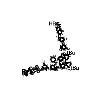 Br.CC(C)(C)c1ccc([I+]c2ccc(C(C)(C)C)cc2)cc1.CC(C)(C)c1ccc([I+]c2ccc(C(C)(C)C)cc2)cc1.C[Si](C)(C)c1ccccc1[I+]c1ccccc1.Cc1cc(C)c(I)c(C)n1.Cc1cc(C)nc(C)c1.F[P-](F)(F)(F)(F)F.F[P-](F)(F)(F)(F)F.O=S(=O)([O-])C(F)(F)F.O=S(=O)([O-])C(F)(F)F.c1ccc([I+]c2ccccc2)cc1